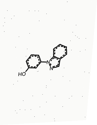 Oc1cccc(-n2ncc3ccccc32)c1